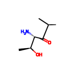 CC(C)C(=O)[C@@H](N)[C@H](C)O